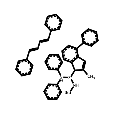 C(C=Cc1ccccc1)=Cc1ccccc1.CC1=Cc2c(-c3ccccc3)cccc2[CH]1[Zr]([NH]C(C)(C)C)[SiH](c1ccccc1)c1ccccc1